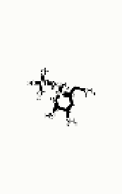 CCc1cc(N)c(S)n[n+]1C.[O-][Cl+3]([O-])([O-])[O-]